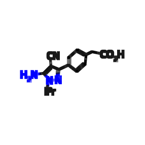 CC(C)n1nc(-c2ccc(CC(=O)O)cc2)c(C#N)c1N